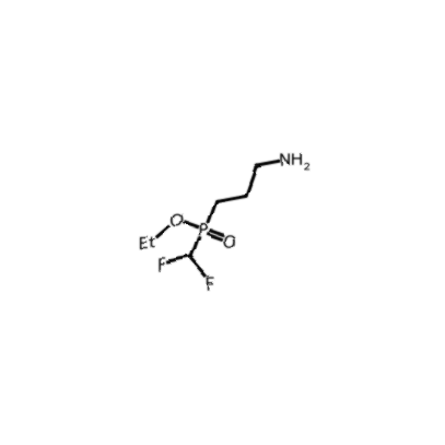 CCOP(=O)(CCCN)C(F)F